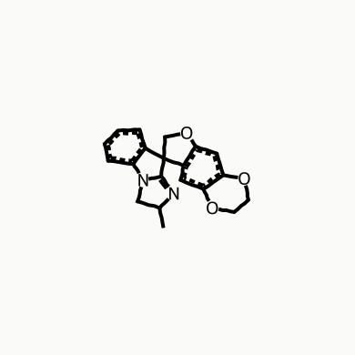 CC1CN2C(=N1)C1(COc3cc4c(cc31)OCCO4)c1ccccc12